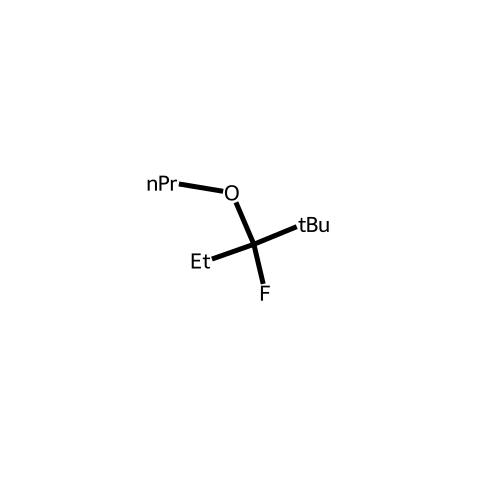 CCCOC(F)(CC)C(C)(C)C